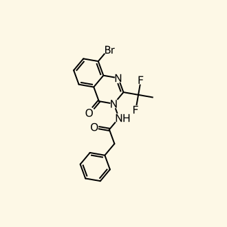 CC(F)(F)c1nc2c(Br)cccc2c(=O)n1NC(=O)Cc1ccccc1